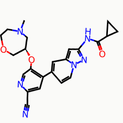 CN1CCOC[C@H](Oc2cnc(C#N)cc2-c2ccn3nc(NC(=O)C4CC4)cc3c2)C1